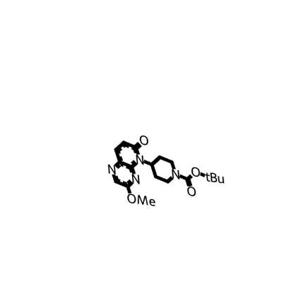 COc1cnc2ccc(=O)n(C3CCN(C(=O)OC(C)(C)C)CC3)c2n1